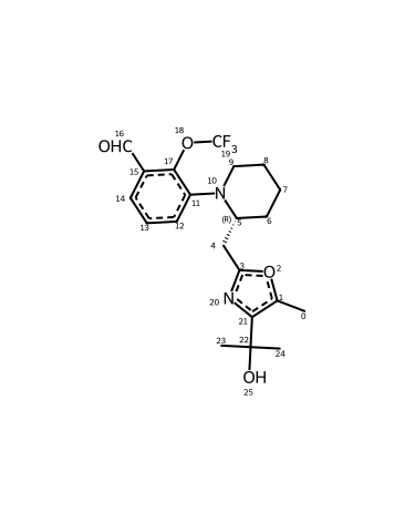 Cc1oc(C[C@H]2CCCCN2c2cccc(C=O)c2OC(F)(F)F)nc1C(C)(C)O